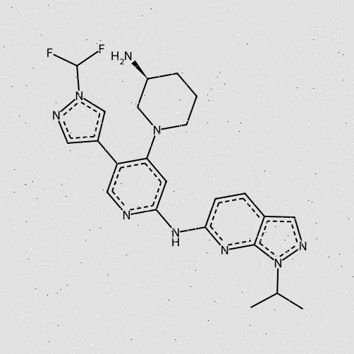 CC(C)n1ncc2ccc(Nc3cc(N4CCC[C@H](N)C4)c(-c4cnn(C(F)F)c4)cn3)nc21